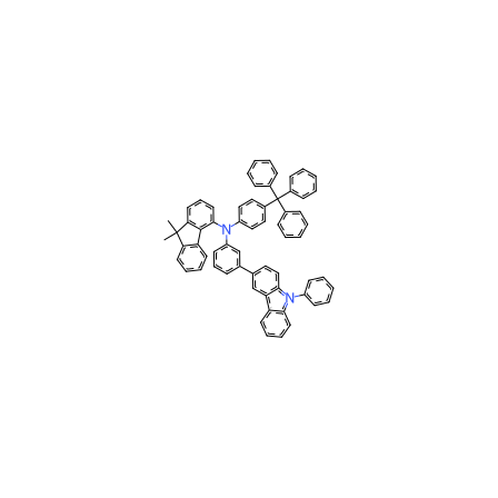 CC1(C)c2ccccc2-c2c(N(c3ccc(C(c4ccccc4)(c4ccccc4)c4ccccc4)cc3)c3cccc(-c4ccc5c(c4)c4ccccc4n5-c4ccccc4)c3)cccc21